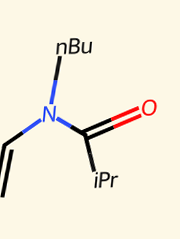 C=CN(CCCC)C(=O)C(C)C